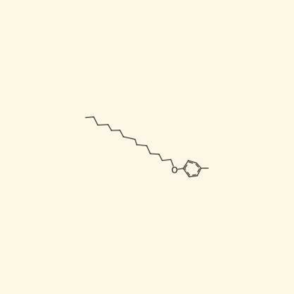 CCCCCCCCCCCCCCOc1ccc(C)cc1